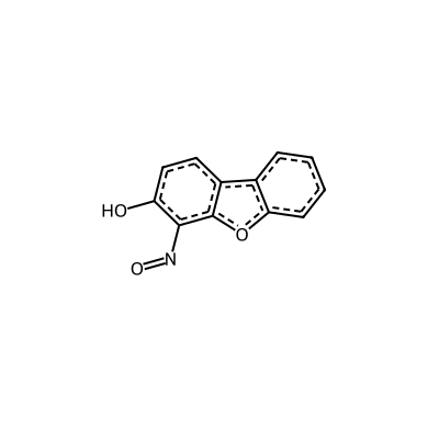 O=Nc1c(O)ccc2c1oc1ccccc12